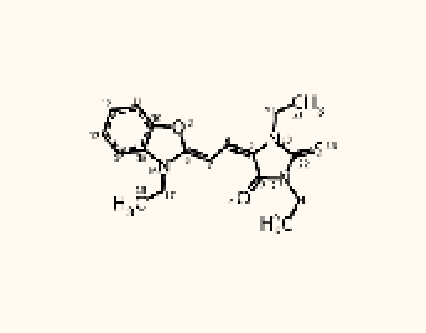 CCN1C(=O)/C(=C\C=C2/Oc3ccccc3N2CC)N(CC)C1=S